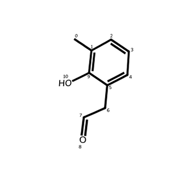 Cc1cccc(CC=O)c1O